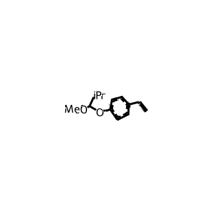 C=Cc1ccc(OC(OC)C(C)C)cc1